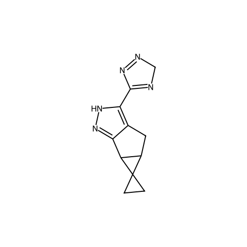 C1N=NC(c2[nH]nc3c2CC2C3C23CC3)=N1